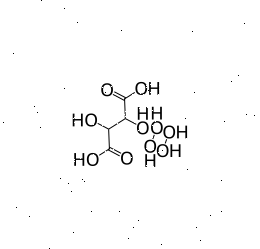 O=C(O)C(O)C(O)C(=O)O.OO.OO